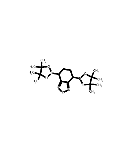 CC1(C)OB(C2CCC(B3OC(C)(C)C(C)(C)O3)c3nsnc32)OC1(C)C